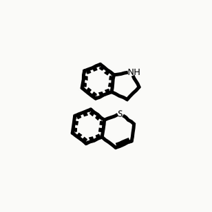 C1=Cc2ccccc2SC1.c1ccc2c(c1)CCN2